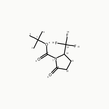 CC(C)(C)OC(=O)N1C(=O)CCC1C(F)(F)F